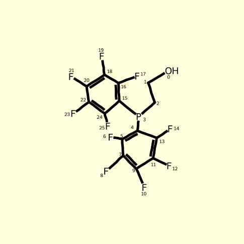 OCCP(c1c(F)c(F)c(F)c(F)c1F)c1c(F)c(F)c(F)c(F)c1F